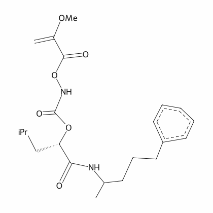 C=C(OC)C(=O)ONC(=O)O[C@@H](CC(C)C)C(=O)NC(C)CCCc1ccccc1